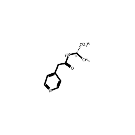 C[C@H](NC(=O)Cc1ccncc1)C(=O)O